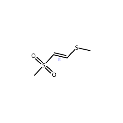 CS/C=C/S(C)(=O)=O